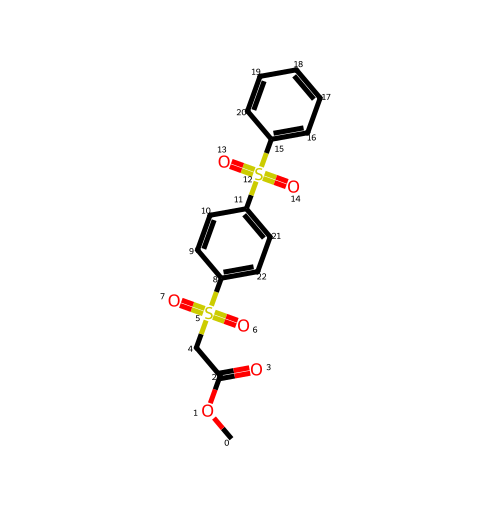 COC(=O)CS(=O)(=O)c1ccc(S(=O)(=O)c2ccccc2)cc1